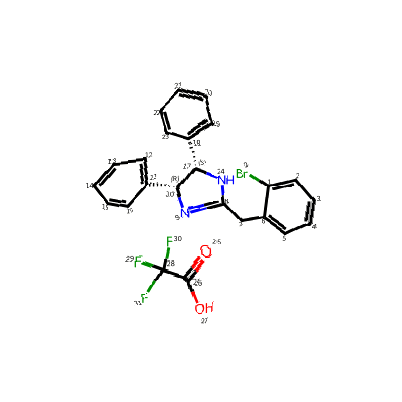 Brc1ccccc1CC1=N[C@H](c2ccccc2)[C@H](c2ccccc2)N1.O=C(O)C(F)(F)F